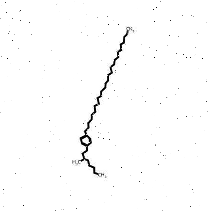 CCCCCCCCCCCCCCCCCCCCCCCCCCCc1ccc(C[CH]C(C)CCCCC)cc1